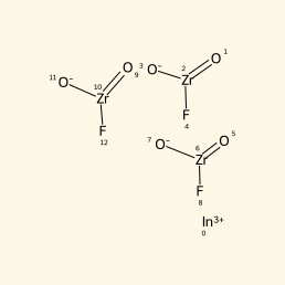 [In+3].[O]=[Zr]([O-])[F].[O]=[Zr]([O-])[F].[O]=[Zr]([O-])[F]